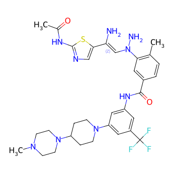 CC(=O)Nc1ncc(/C(N)=C/N(N)c2cc(C(=O)Nc3cc(N4CCC(N5CCN(C)CC5)CC4)cc(C(F)(F)F)c3)ccc2C)s1